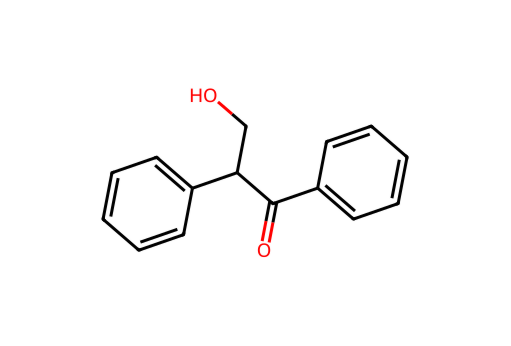 O=C(c1ccccc1)C(CO)c1ccccc1